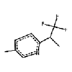 Cc1ccc(C(C)C(F)(F)F)nc1